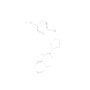 Nc1ccc(N[C@@H]2CCN(C(=O)Nc3ccccc3F)C2)nc1